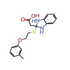 Cc1cccc(OCCSC2(CC(=O)O)Nc3ccccc3N2)c1